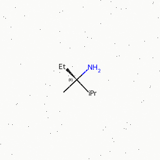 CC[C@@](C)(N)C(C)C